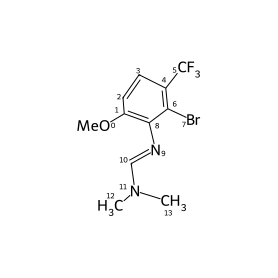 COc1ccc(C(F)(F)F)c(Br)c1N=CN(C)C